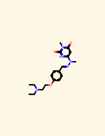 CCN(CC)CCOc1ccc(/C=N/N(C)c2cc(=O)n(C)c(=O)[nH]2)cc1